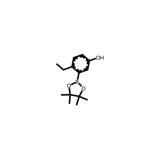 CCc1ccc(O)cc1B1OC(C)(C)C(C)(C)O1